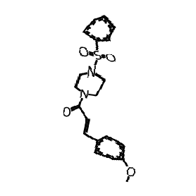 COc1ccc(C=CC(=O)N2CCN(S(=O)(=O)c3ccccc3)CC2)cc1